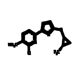 O=C(O)c1ccc(-n2ccc(OC3C[C@H]3C(F)(F)F)n2)nc1Cl